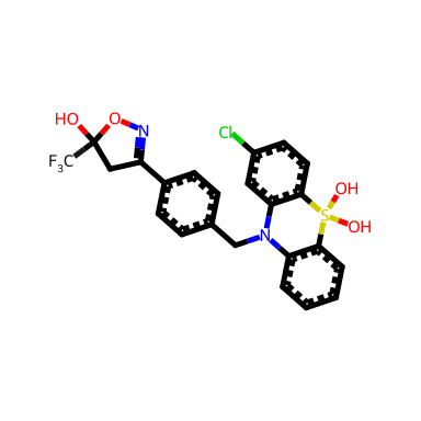 OC1(C(F)(F)F)CC(c2ccc(CN3c4ccccc4S(O)(O)c4ccc(Cl)cc43)cc2)=NO1